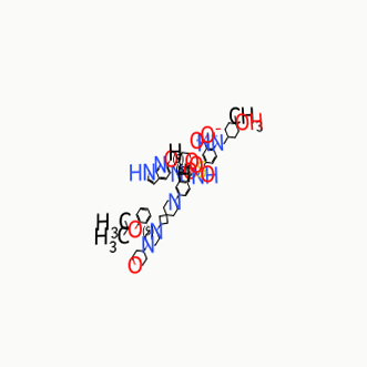 CC(C)Oc1ccccc1[C@H]1CN(C2CCOCC2)CCN1C1CC2(CCN(c3ccc(C(=O)NS(=O)(=O)c4ccc(NCC5CCC(C)(O)CC5)c([N+](=O)[O-])c4)c(N4c5cc6cc[nH]c6nc5O[C@H]5CCOC[C@@H]54)c3)CC2)C1